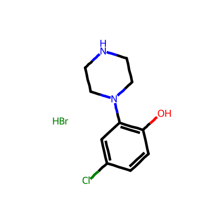 Br.Oc1ccc(Cl)cc1N1CCNCC1